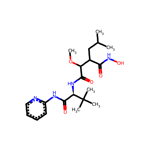 COC(C(=O)N[C@H](C(=O)Nc1ccccn1)C(C)(C)C)C(CC(C)C)C(=O)NO